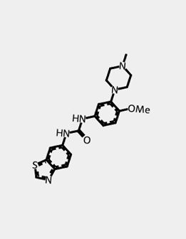 COc1ccc(NC(=O)Nc2ccc3ncsc3c2)cc1N1CCN(C)CC1